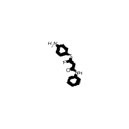 Nc1ccc(SC(F)=CC(=O)Nc2ccccc2)cc1